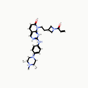 C=CC(=O)N1CC(CCn2c(=O)ccc3cnc(Nc4ccc(N5C[C@@H](C)N(C)[C@@H](C)C5)cc4)nc32)C1